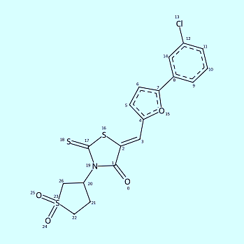 O=C1C(=Cc2ccc(-c3cccc(Cl)c3)o2)SC(=S)N1C1CCS(=O)(=O)C1